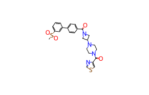 CS(=O)(=O)c1cccc(-c2ccc(C(=O)N3CC(N4CCN(C(=O)c5cscn5)CC4)C3)cc2)c1